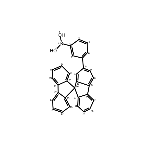 OB(O)c1cccc(-c2ccc3c(c2)C2(c4ccccc4-c4ccccc42)c2ccccc2-3)c1